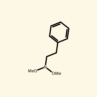 CON(CCc1ccccc1)OC